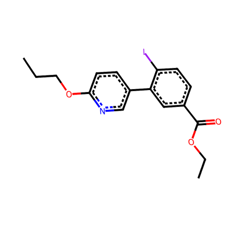 CCCOc1ccc(-c2cc(C(=O)OCC)ccc2I)cn1